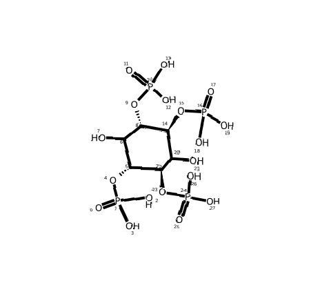 O=P(O)(O)O[C@@H]1C(O)[C@H](OP(=O)(O)O)[C@@H](OP(=O)(O)O)C(O)[C@H]1OP(=O)(O)O